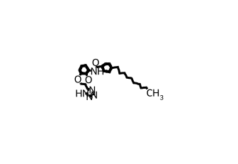 CCCCCCCCCCc1ccc(C(=O)Nc2cccc3c2OC(c2nnn[nH]2)CO3)cc1